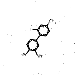 CCCc1ccc(-c2ccc(C)cc2F)cc1CCC